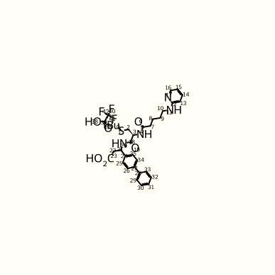 CC(C)(C)SC[C@@H](NC(=O)CCCCNc1ccccn1)C(=O)NC(CC(=O)O)c1ccc(-c2ccccc2)cc1.O=C(O)C(F)(F)F